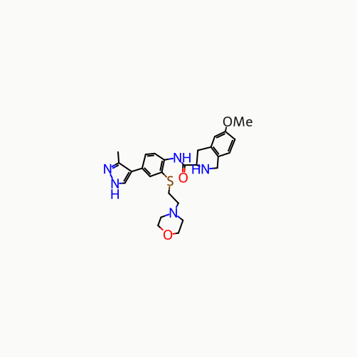 COc1ccc2c(c1)CC(C(=O)Nc1ccc(-c3c[nH]nc3C)cc1SCCN1CCOCC1)NC2